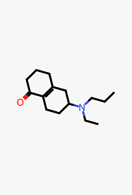 CCCN(CC)C1CCC2=C(CCCC2=O)C1